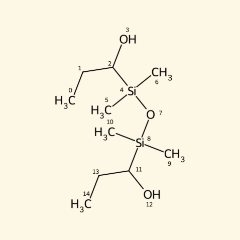 CCC(O)[Si](C)(C)O[Si](C)(C)C(O)CC